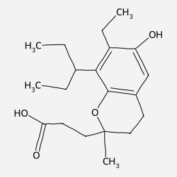 CCc1c(O)cc2c(c1C(CC)CC)OC(C)(CCC(=O)O)CC2